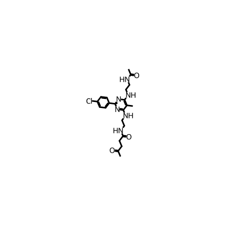 CC(=O)CCC(=O)NCCNc1nc(-c2ccc(Cl)cc2)nc(NCCNC(C)=O)c1C